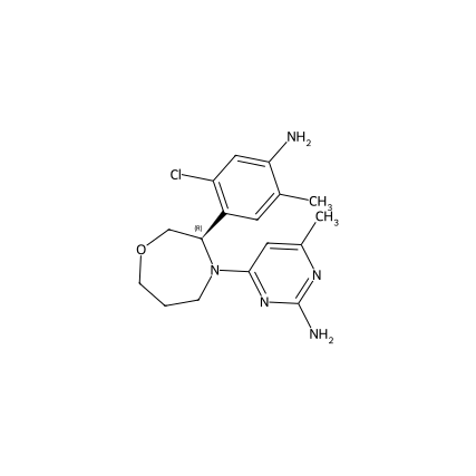 Cc1cc(N2CCCOC[C@H]2c2cc(C)c(N)cc2Cl)nc(N)n1